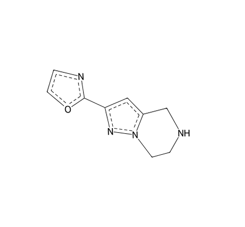 c1coc(-c2cc3n(n2)CCNC3)n1